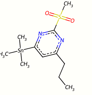 CCCc1c[c]([Sn]([CH3])([CH3])[CH3])nc(S(C)(=O)=O)n1